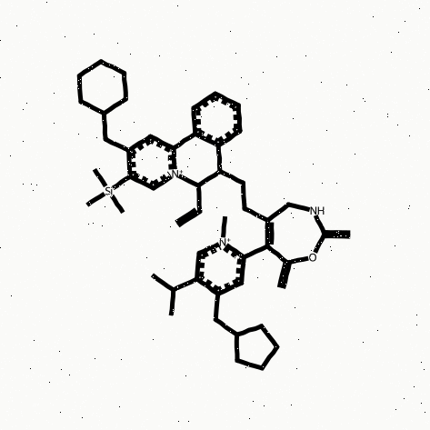 C=CC1C(CCC2=C(c3cc(CC4CCCC4)c(C(C)C)c[n+]3C)C(=C)OC(=C)NC2)c2ccccc2-c2cc(CC3CCCCC3)c([Si](C)(C)C)c[n+]21